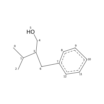 CC(C)C(CO)Cc1ccccc1